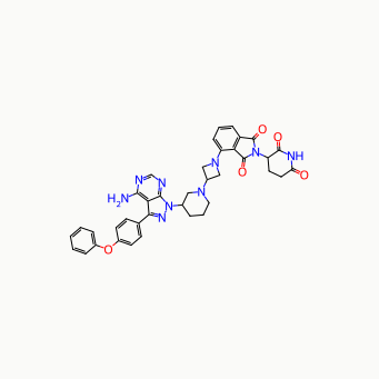 Nc1ncnc2c1c(-c1ccc(Oc3ccccc3)cc1)nn2C1CCCN(C2CN(c3cccc4c3C(=O)N(C3CCC(=O)NC3=O)C4=O)C2)C1